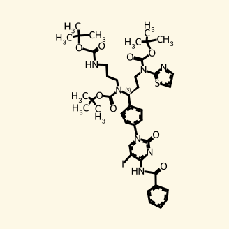 CC(C)(C)OC(=O)NCCCN(C(=O)OC(C)(C)C)[C@@H](CCN(C(=O)OC(C)(C)C)c1nccs1)c1ccc(-n2cc(I)c(NC(=O)c3ccccc3)nc2=O)cc1